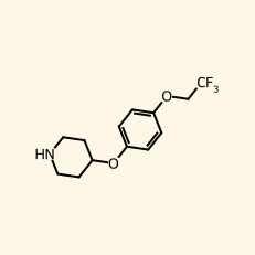 FC(F)(F)COc1ccc(OC2CCNCC2)cc1